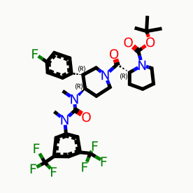 CN(C(=O)N(C)[C@@H]1CCN(C(=O)[C@H]2CCCCN2C(=O)OC(C)(C)C)C[C@H]1c1ccc(F)cc1)c1cc(C(F)(F)F)cc(C(F)(F)F)c1